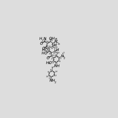 CN(C)c1cc(NCc2ccc(N)cc2)c(O)c2c1C[C@H]1C[C@H]3[C@H](N(C)C)C(O)=C(C(N)=O)C(=O)[C@@]3(O)C(O)=C1C2=O